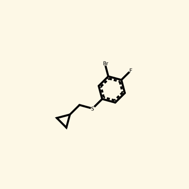 Fc1ccc(SCC2CC2)cc1Br